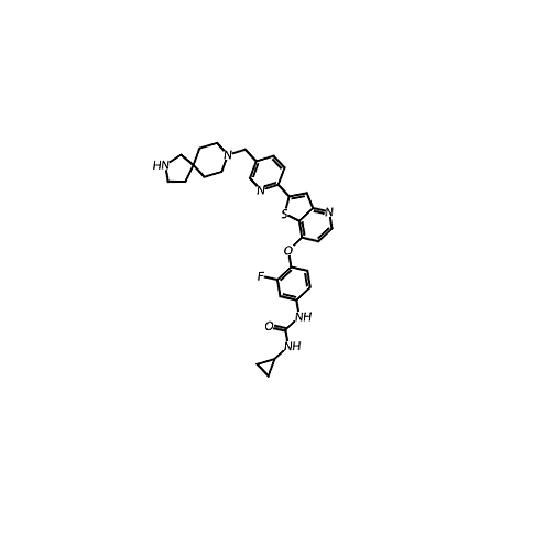 O=C(Nc1ccc(Oc2ccnc3cc(-c4ccc(CN5CCC6(CCNC6)CC5)cn4)sc23)c(F)c1)NC1CC1